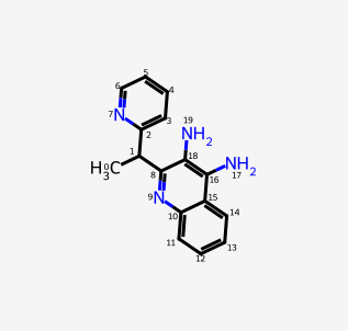 CC(c1ccccn1)c1nc2ccccc2c(N)c1N